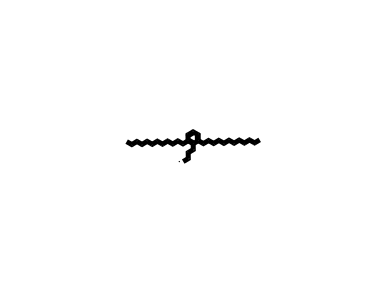 [CH2]CCCc1c(CCCCCCCCCCCC)cccc1CCCCCCCCCCCC